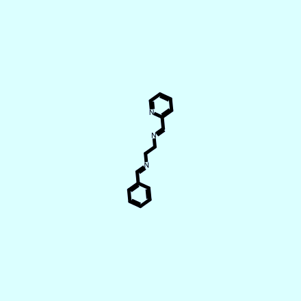 C(=NCCN=Cc1ccccn1)c1ccccc1